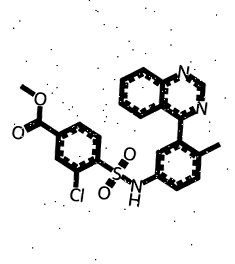 COC(=O)c1ccc(S(=O)(=O)Nc2ccc(C)c(-c3ncnc4ccccc34)c2)c(Cl)c1